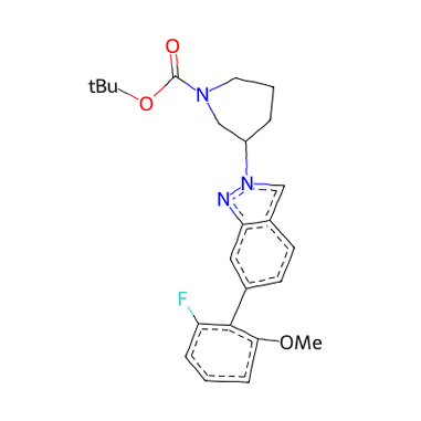 COc1cccc(F)c1-c1ccc2cn(C3CCCN(C(=O)OC(C)(C)C)C3)nc2c1